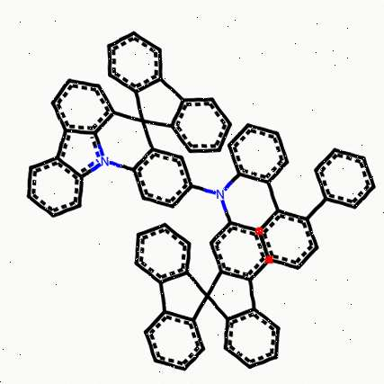 c1ccc(-c2ccccc2-c2ccccc2N(c2ccc3c(c2)C2(c4ccccc4-c4ccccc42)c2ccccc2-3)c2ccc3c(c2)C2(c4ccccc4-c4ccccc42)c2cccc4c5ccccc5n-3c24)cc1